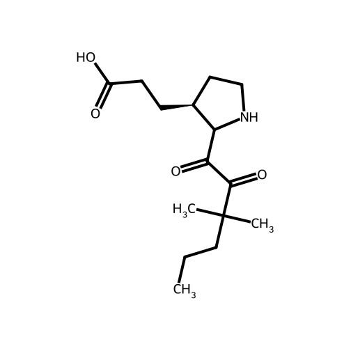 CCCC(C)(C)C(=O)C(=O)C1NCC[C@@H]1CCC(=O)O